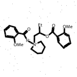 CCC(C[N+]1([N-]C(=O)c2ccccc2OC)CCCCC1)OC(=O)c1ccccc1OC